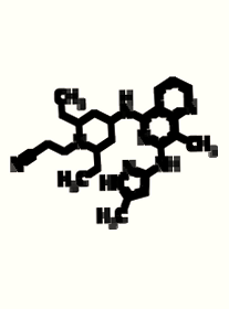 CCC1CC(Nc2nc(Nc3cc(C)[nH]n3)c(C)c3ncccc23)CC(CC)N1CCC#N